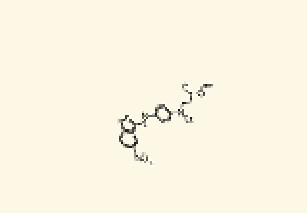 C=COC(=O)CCN(CC)c1ccc(/N=N/c2snc3ccc([N+](=O)[O-])cc23)cc1